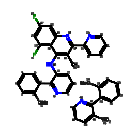 COc1ccccc1-c1ncccc1Nc1c(C)c(-c2ccccn2)nc2cc(F)cc(F)c12.COc1ccccc1-c1ncccc1[N+](=O)[O-]